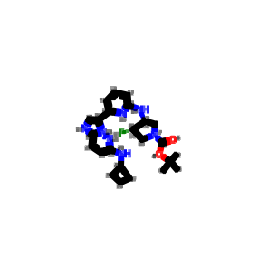 CC(C)(C)OC(=O)N1C[C@H](Nc2cccc(-c3cnc4ccc(NC5CCC5)nn34)n2)[C@@H](F)C1